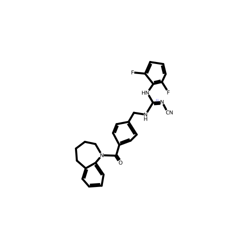 N#C/N=C(\NCc1ccc(C(=O)N2CCCCc3ccccc32)cc1)Nc1c(F)cccc1F